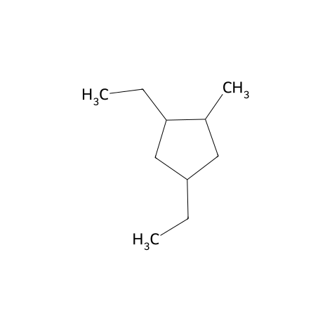 CCC1CC(C)C(CC)C1